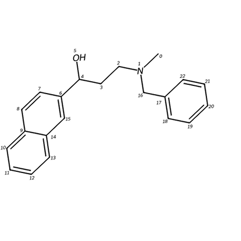 CN(CCC(O)c1ccc2ccccc2c1)Cc1ccccc1